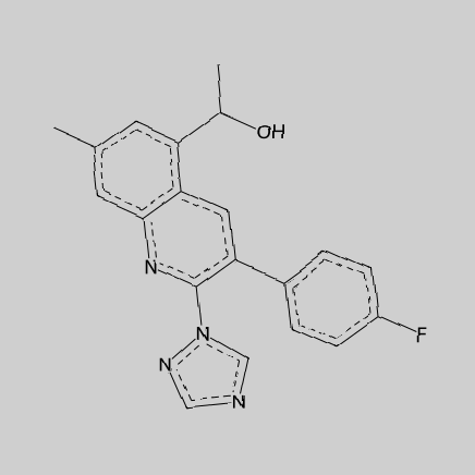 Cc1cc(C(C)O)c2cc(-c3ccc(F)cc3)c(-n3cncn3)nc2c1